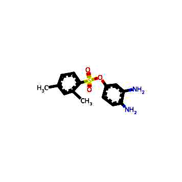 Cc1ccc(S(=O)(=O)Oc2ccc(N)c(N)c2)c(C)c1